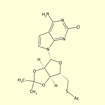 CC(=O)SC[C@H]1O[C@@H](n2ccc3c(N)nc(Cl)nc32)[C@@H]2OC(C)(C)O[C@@H]21